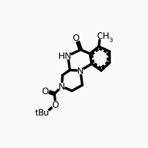 Cc1cccc2c1C(=O)NC1CN(C(=O)OC(C)(C)C)CCN21